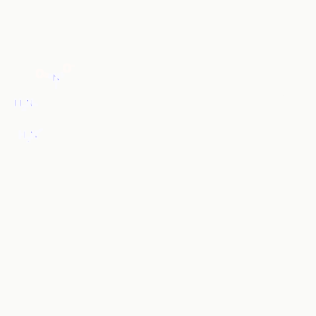 CCCCCCCCCCCCC(C#Cc1cc(N)c(N)c([N+](=O)[O-])c1)CCCCCCCCCC